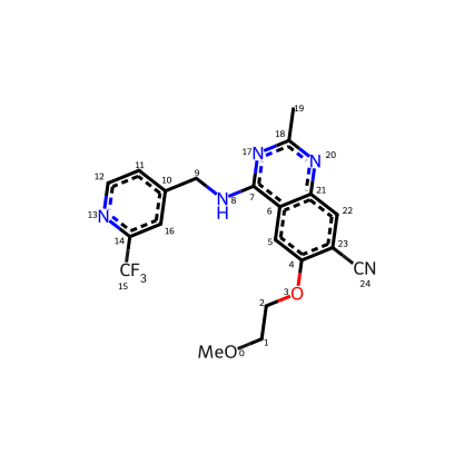 COCCOc1cc2c(NCc3ccnc(C(F)(F)F)c3)nc(C)nc2cc1C#N